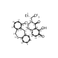 CC[C@@H](N1CN([C@@H]2c3ccccc3SCc3cccc(Cl)c32)n2ccc(=O)c(O)c2C1=O)C(F)(F)F